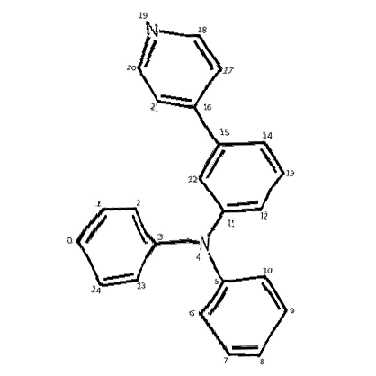 c1ccc(N(c2ccccc2)c2cccc(-c3ccncc3)c2)cc1